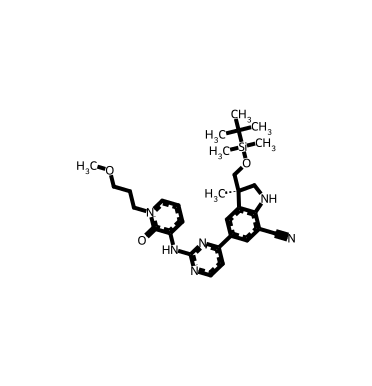 COCCCn1cccc(Nc2nccc(-c3cc(C#N)c4c(c3)[C@@](C)(CO[Si](C)(C)C(C)(C)C)CN4)n2)c1=O